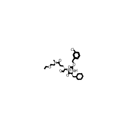 CCOCCN(C)C(=O)CC[C@@H](C=O)NC(=O)[C@H](CC1CCCCC1)NC(=O)OCc1cccc(Cl)c1